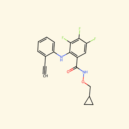 C#Cc1ccccc1Nc1c(C(=O)NOCC2CC2)cc(F)c(F)c1F